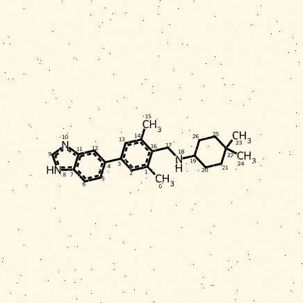 Cc1cc(-c2ccc3[nH]cnc3c2)cc(C)c1CNC1CCC(C)(C)CC1